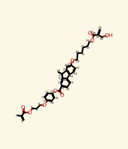 C=C(C)C(=O)OCCCOc1ccc(OC(=O)c2ccc3c(c2)C(C)c2cc(OCCCCCCOC(=O)C(=C)CO)ccc2-3)cc1